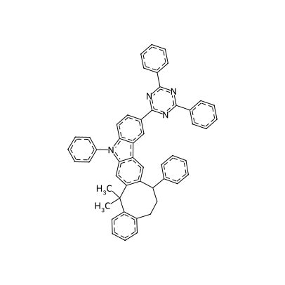 CC1(C)c2ccccc2CCC(c2ccccc2)c2cc3c4cc(-c5nc(-c6ccccc6)nc(-c6ccccc6)n5)ccc4n(-c4ccccc4)c3cc21